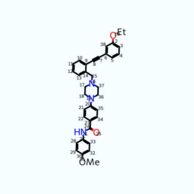 CCOc1cccc(C#Cc2ccccc2CN2CCN(c3ccc(C(=O)Nc4ccc(OC)cc4)cc3)CC2)c1